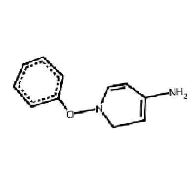 NC1=CCN(Oc2ccccc2)C=C1